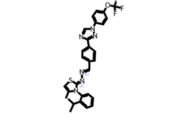 Cc1cs/c(=N\N=C\c2ccc(-c3ncn(-c4ccc(OC(F)(F)F)cc4)n3)cc2)n1-c1ccccc1C(C)C